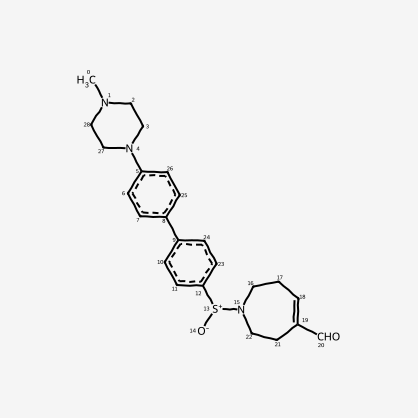 CN1CCN(c2ccc(-c3ccc([S+]([O-])N4CCC=C(C=O)CC4)cc3)cc2)CC1